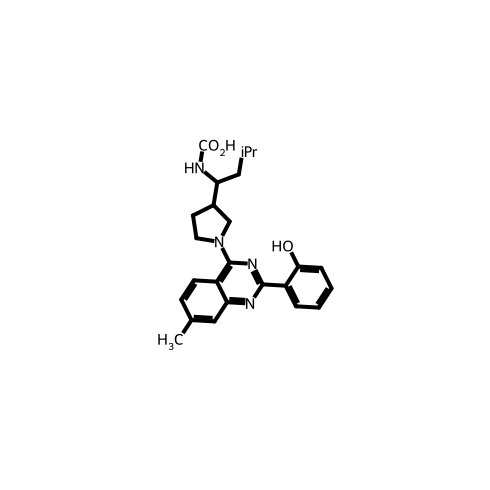 Cc1ccc2c(N3CCC(C(CC(C)C)NC(=O)O)C3)nc(-c3ccccc3O)nc2c1